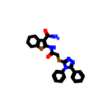 NC(=O)c1c(NC(=O)CSc2nnc(-c3ccccc3)n2-c2ccccc2)sc2c1CCCC2